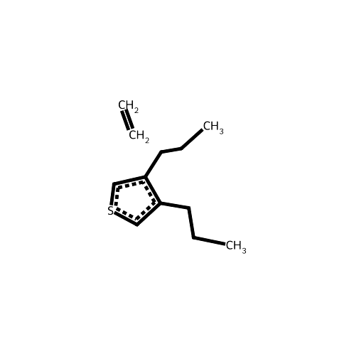 C=C.CCCc1cscc1CCC